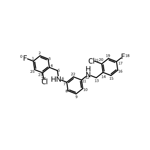 Fc1ccc(CNc2cccc(NCc3ccc(F)cc3Cl)c2)c(Cl)c1